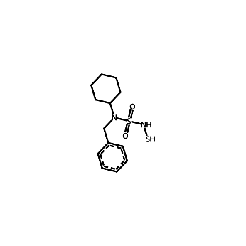 O=S(=O)(NS)N(Cc1ccccc1)C1CCCCC1